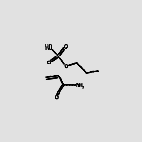 C=CC(N)=O.CCCOS(=O)(=O)O